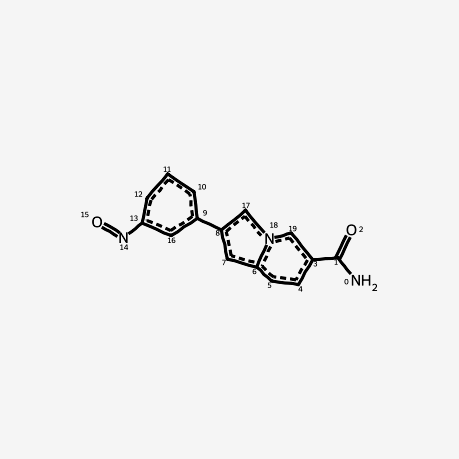 NC(=O)c1ccc2cc(-c3cccc(N=O)c3)cn2c1